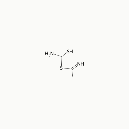 CC(=N)SC(N)S